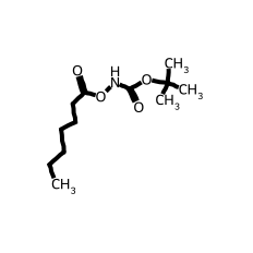 CCCCCCC(=O)ONC(=O)OC(C)(C)C